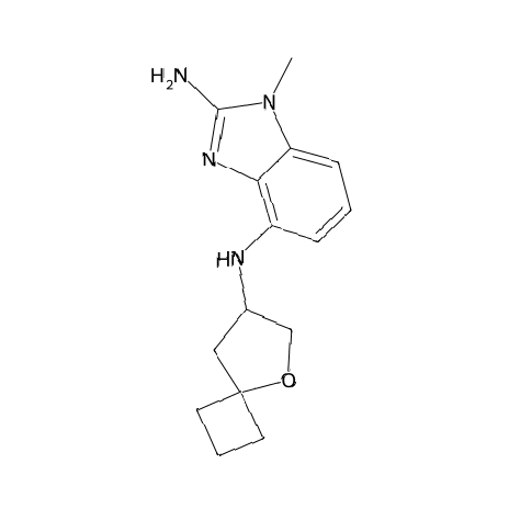 Cn1c(N)nc2c(NC3COC4(CCC4)C3)cccc21